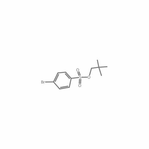 CC(C)(C)COS(=O)(=O)c1ccc(Br)cc1